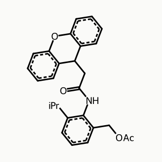 CC(=O)OCc1cccc(C(C)C)c1NC(=O)CC1c2ccccc2Oc2ccccc21